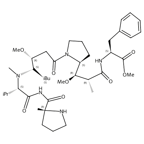 CC[C@H](C)[C@@H]([C@@H](CC(=O)N1CCC[C@H]1[C@H](OC)[C@@H](C)C(=O)N[C@@H](Cc1ccccc1)C(=O)OC)OC)N(C)[C@H](C(=O)NC(=O)[C@@]1(C)CCCN1)C(C)C